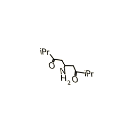 CC(C)C(=O)CC(N)CC(=O)C(C)C